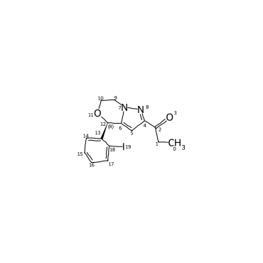 CCC(=O)c1cc2n(n1)CCO[C@@H]2c1ccccc1I